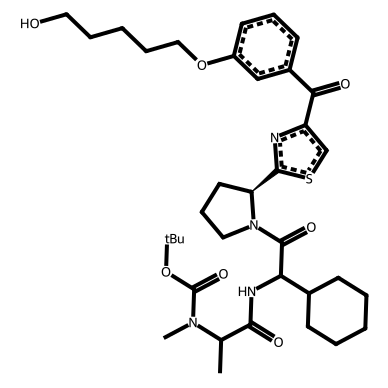 CC(C(=O)NC(C(=O)N1CCC[C@H]1c1nc(C(=O)c2cccc(OCCCCCO)c2)cs1)C1CCCCC1)N(C)C(=O)OC(C)(C)C